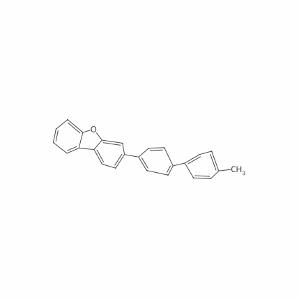 Cc1ccc(-c2ccc(-c3ccc4c(c3)oc3ccccc34)cc2)cc1